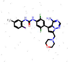 Nc1ncnn2c(CN3CCOCC3)cc(-c3cc(F)c(NC(=O)Nc4cc(C(F)(F)F)ccc4I)cc3F)c12